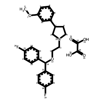 COc1cccc(C2CCN(CCOC(c3ccc(F)cc3)c3ccc(F)cc3)C2)c1.O=C(O)C(=O)O